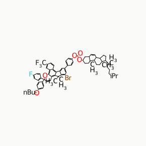 CCCCOc1ccc(C2(c3ccc(F)cc3)C=Cc3c4c(c5ccc(C(F)(F)F)cc5c3O2)-c2cc(-c3ccc(OC(=O)OC5CCC6(C)C(C=CC7C6CCC6(C)C(C(C)CCCC(C)C)CCC76)C5)cc3)cc(Br)c2C4(C)C)cc1